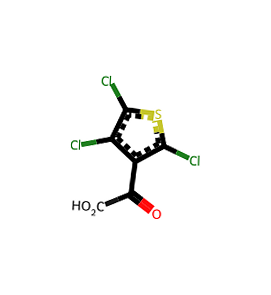 O=C(O)C(=O)c1c(Cl)sc(Cl)c1Cl